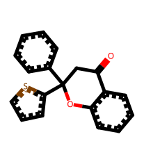 O=C1CC(c2ccccc2)(c2cccs2)Oc2ccccc21